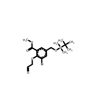 COC(=O)c1cc(CO[Si](C)(C)C(C)(C)C)cc(Br)c1OCC=O